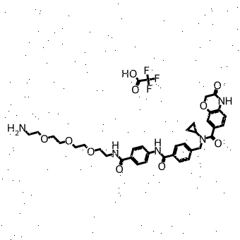 NCCOCCOCCOCCNC(=O)c1ccc(NC(=O)c2ccc(CN(C(=O)c3ccc4c(c3)OCC(=O)N4)C3CC3)cc2)cc1.O=C(O)C(F)(F)F